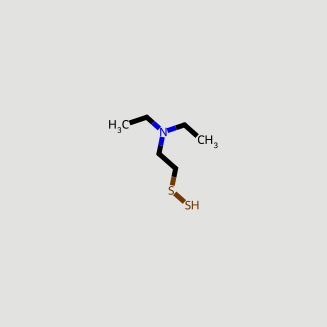 CCN(CC)CCSS